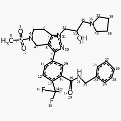 CS(=O)(=O)N1CCc2c(c(-c3ccc(C(F)(F)F)c(C(=O)NCc4ccccc4)c3)nn2CC(O)CN2CCCC2)C1